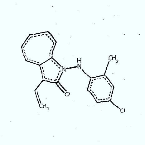 C=Cc1c2cccccc-2n(Nc2ccc(Cl)cc2C)c1=O